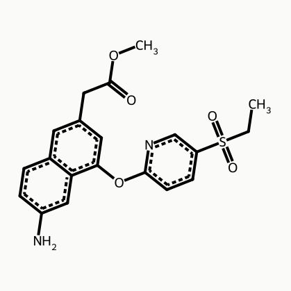 CCS(=O)(=O)c1ccc(Oc2cc(CC(=O)OC)cc3ccc(N)cc23)nc1